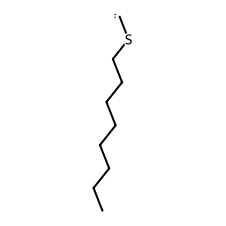 [CH]SCCCCCCCC